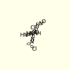 CC1(C)CCC(CN2CCN(c3ccc(C(=O)NS(=O)(=O)c4ccc(OCC5(F)CCN(C6COC6)CC5)c(Cl)c4)c(-n4ncc5nc6[nH]ccc6cc54)c3)CC2)=C(c2ccc(Cl)cc2)C1